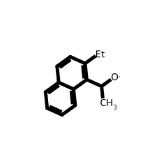 CCc1ccc2ccccc2c1C(C)[O]